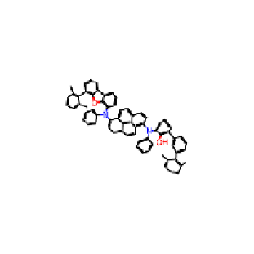 Cc1cccc(C)c1-c1cccc(-c2cccc(N(c3ccccc3)c3ccc4ccc5c(N(c6ccccc6)c6cccc7c6oc6c(-c8c(C)cccc8C)cccc67)ccc6ccc3c4c65)c2O)c1